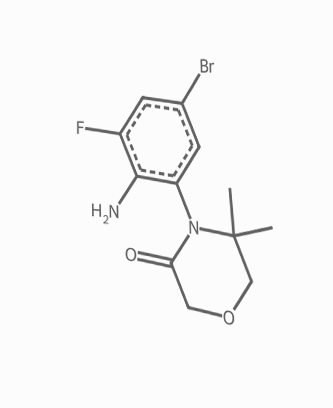 CC1(C)COCC(=O)N1c1cc(Br)cc(F)c1N